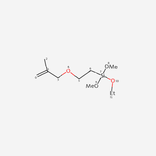 C=C(C)COCC[Si](OC)(OC)OCC